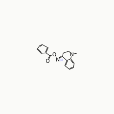 CN1CC/C(=N\OC(=O)c2ccccc2)c2ccccc21